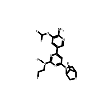 CCCN(CCF)c1nc(-c2cnc(N)c(OC(F)F)c2)cc(N2CC3OCC2C3F)n1